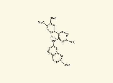 COc1ccc2ncc(Nc3nc(N)ncc3-c3cc(OC)c(OC)cc3C)cc2c1